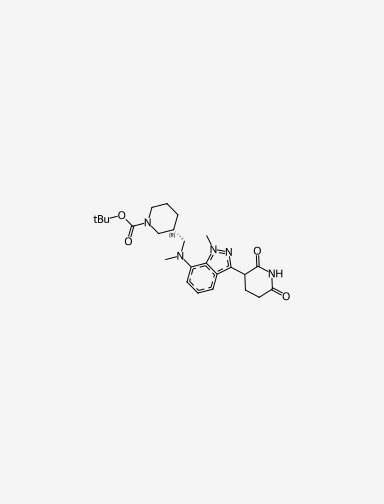 CN(C[C@H]1CCCN(C(=O)OC(C)(C)C)C1)c1cccc2c(C3CCC(=O)NC3=O)nn(C)c12